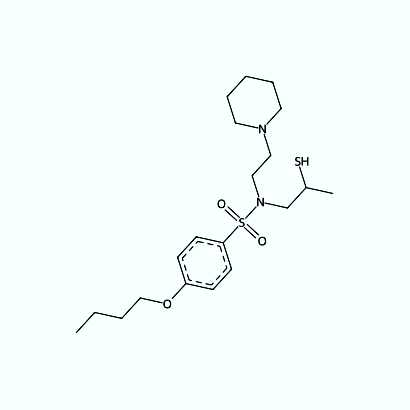 CCCCOc1ccc(S(=O)(=O)N(CCN2CCCCC2)CC(C)S)cc1